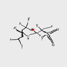 O=S(=O)(F)C(F)(F)C(F)(F)OC(F)(C(F)F)C(F)(F)F